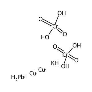 [Cu].[Cu].[KH].[O]=[Cr](=[O])([OH])[OH].[O]=[Cr](=[O])([OH])[OH].[PbH2]